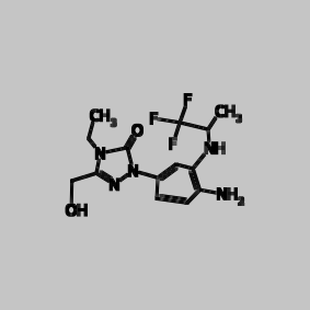 CCn1c(CO)nn(-c2ccc(N)c(NC(C)C(F)(F)F)c2)c1=O